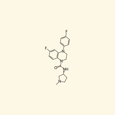 CN1CC[C@H](NC(=O)N2CCN(c3ccc(F)cc3)c3cc(F)ccc32)C1